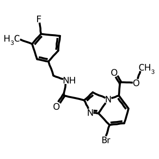 COC(=O)c1ccc(Br)c2nc(C(=O)NCc3ccc(F)c(C)c3)cn12